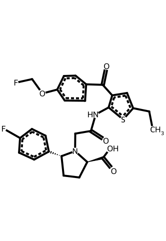 CCc1cc(C(=O)c2ccc(OCF)cc2)c(NC(=O)CN2[C@@H](C(=O)O)CC[C@@H]2c2ccc(F)cc2)s1